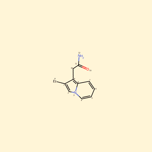 CCc1cn2ccccc2c1CC(N)=O